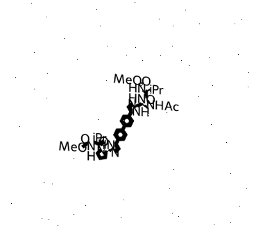 COC(=O)N[C@H](C(=O)N[C@@H](CNC(C)=O)c1ncc(-c2ccc(-c3ccc(-c4cnc([C@@H]5CCCN5C(=O)[C@@H](NC(=O)OC)C(C)C)[nH]4)cc3)cc2)[nH]1)C(C)C